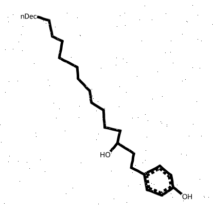 CCCCCCCCCCCCCCCCCCCCCC(O)CCc1ccc(O)cc1